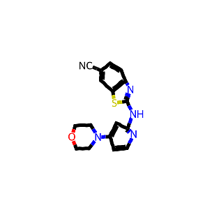 N#Cc1ccc2nc(Nc3cc(N4CCOCC4)ccn3)sc2c1